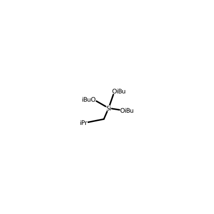 CC(C)CO[Si](CC(C)C)(OCC(C)C)OCC(C)C